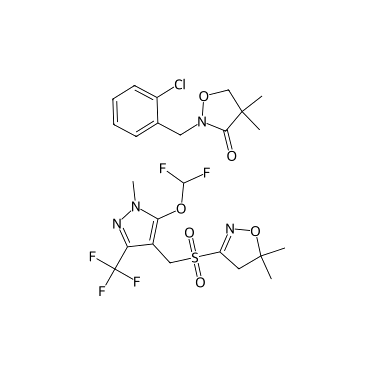 CC1(C)CON(Cc2ccccc2Cl)C1=O.Cn1nc(C(F)(F)F)c(CS(=O)(=O)C2=NOC(C)(C)C2)c1OC(F)F